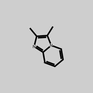 Cc1nc2[c]cccn2c1C